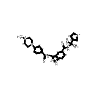 CN1CCN(c2ccc(C(=O)Nc3n[nH]c4ccc(C(=O)NC(C)(C)c5ccsc5)cc34)cc2)CC1